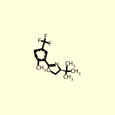 Cc1ccc(C(F)(F)F)cc1C1=N[C@@H](C(C)(C)C)CO1